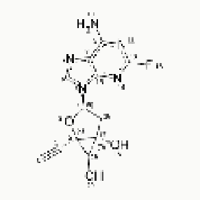 C#C[C@]12O[C@@H](n3cnc4c(N)nc(F)nc43)C[C@@]1(O)C2O